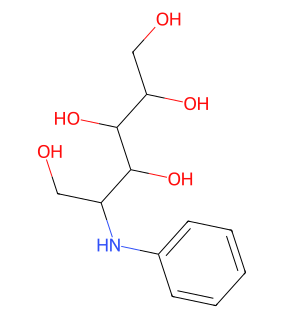 OCC(O)C(O)C(O)C(CO)Nc1ccccc1